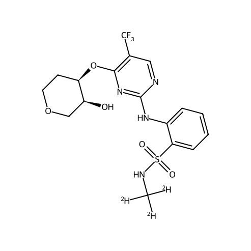 [2H]C([2H])([2H])NS(=O)(=O)c1ccccc1Nc1ncc(C(F)(F)F)c(O[C@@H]2CCOC[C@@H]2O)n1